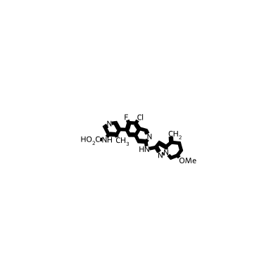 C=C1CCC(OC)Cn2nc(Nc3cc4cc(-c5cncc(NC(=O)O)c5C)c(F)c(Cl)c4cn3)cc21